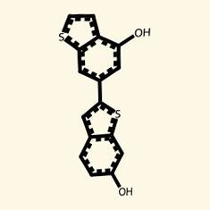 Oc1ccc2cc(-c3cc(O)c4ccsc4c3)sc2c1